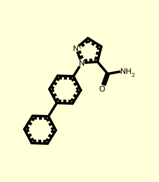 NC(=O)c1ccnn1-c1ccc(-c2ccccc2)cc1